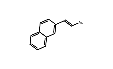 CC(=O)C=Cc1ccc2ccccc2c1